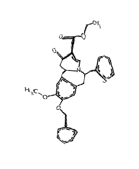 CCOC(=O)C1=CN2C(c3cccs3)Cc3cc(OCc4ccccc4)c(OC)cc3C2CC1=O